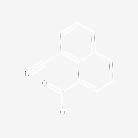 N#Cc1cccc2cccc(C(=O)O)c12